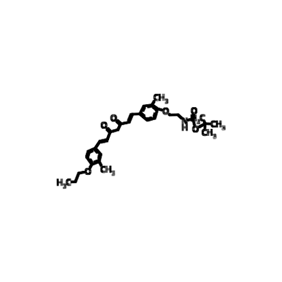 CCCOc1ccc(/C=C/C(=O)CC(=O)/C=C/c2ccc(OCCNC(=O)OC(C)(C)C)c(C)c2)cc1C